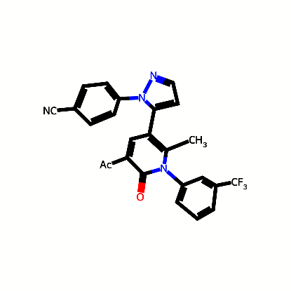 CC(=O)c1cc(-c2ccnn2-c2ccc(C#N)cc2)c(C)n(-c2cccc(C(F)(F)F)c2)c1=O